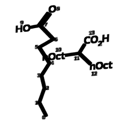 CCCCCCCC(=O)O.CCCCCCCCC(CCCCCCCC)C(=O)O